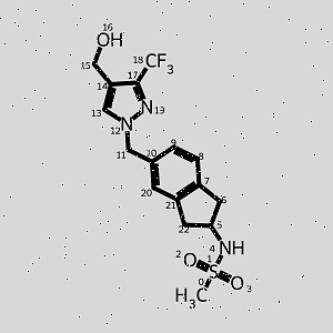 CS(=O)(=O)NC1Cc2ccc(Cn3cc(CO)c(C(F)(F)F)n3)cc2C1